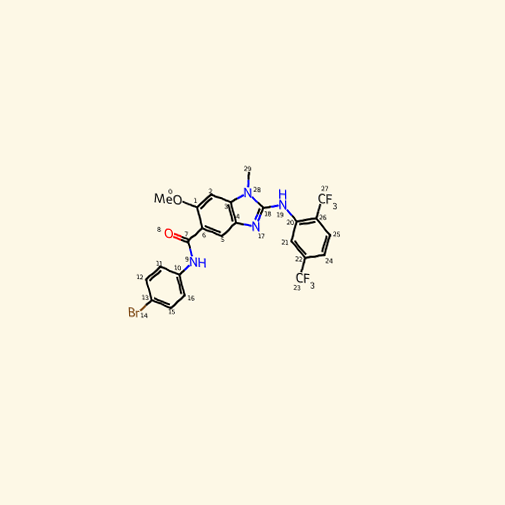 COc1cc2c(cc1C(=O)Nc1ccc(Br)cc1)nc(Nc1cc(C(F)(F)F)ccc1C(F)(F)F)n2C